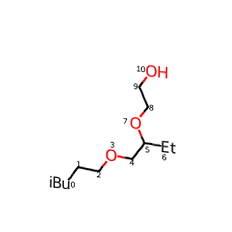 CCC(C)CCOCC(CC)OCCO